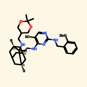 COc1ccccc1CNc1ncc(C#N)c(NC[C@@]23CC4C[C@H](C2)[C@@H](NCC2COC(C)(C)OC2)[C@@H](C4)C3)n1